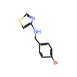 Brc1ccc(CNc2cs[c]n2)cc1